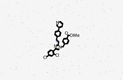 COC(=O)c1ccc(Cn2cc(-c3ccc(Cl)cc3Cl)nc2/C=C/c2ccc(-c3cccnc3)cc2)cc1